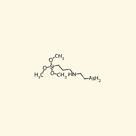 CO[Si](CCCNCC[AsH2])(OC)OC